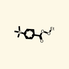 [CH2]COOC(=O)c1ccc([Si](C)(C)C)cc1